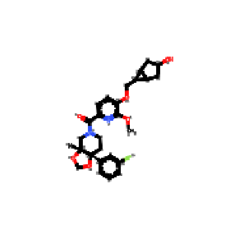 COc1nc(C(=O)N2CC[C@]3(c4cccc(F)c4)OCO[C@@H]3C2)ccc1OCC1C2CC(O)CC12